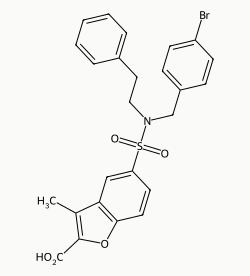 Cc1c(C(=O)O)oc2ccc(S(=O)(=O)N(CCc3ccccc3)Cc3ccc(Br)cc3)cc12